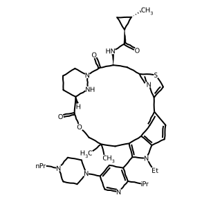 CCCN1CCN(c2cnc(C(C)C)c(-c3c4c5cc(ccc5n3CC)-c3csc(n3)C[C@H](NC(=O)[C@H]3C[C@@H]3C)C(=O)N3CCC[C@H](N3)C(=O)OCC(C)(C)C4)c2)CC1